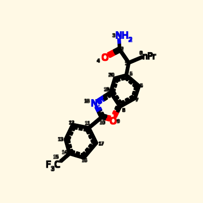 CCCC(C(N)=O)c1ccc2oc(-c3ccc(C(F)(F)F)cc3)nc2c1